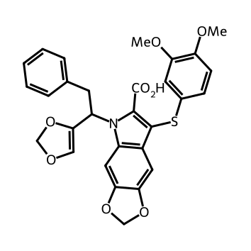 COc1ccc(Sc2c(C(=O)O)n(C(Cc3ccccc3)C3=COCO3)c3cc4c(cc23)OCO4)cc1OC